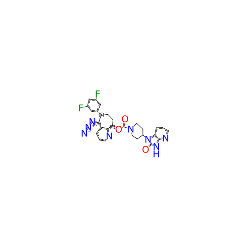 [N-]=[N+]=N[C@@H]1c2cccnc2[C@H](OC(=O)N2CCC(n3c(=O)[nH]c4ncccc43)CC2)CC[C@H]1c1cc(F)cc(F)c1